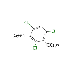 CC(=O)Nc1c(Cl)cc(Cl)c(C(=O)O)c1Cl